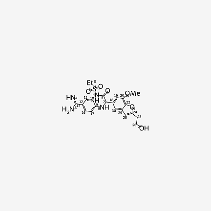 CCS(=O)(=O)NC(=O)C(Nc1ccc(C(=N)N)cc1)c1cc(OC)c2oc(CCO)cc2c1